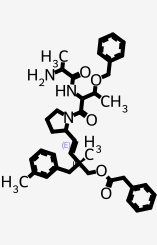 Cc1cccc(C[C@](C)(/C=C/C2CCCN2C(=O)C(NC(=O)C(C)N)C(C)OCc2ccccc2)COC(=O)Cc2ccccc2)c1